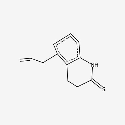 C=CCc1cccc2c1CCC(=S)N2